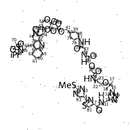 CSc1ncc(-c2nc(C(=O)NCc3cn(CC(C)(C)OCC(C)(C)NC(=O)COCC(=O)NCC(=O)Nc4ccc(COC(=O)OC5C(=O)OCC(C)=C5/C=C5/c6nc7ccccc7c(CCN(C(C)C)S(C)(=O)=O)c6CN5C=O)cc4)nn3)cs2)cn1